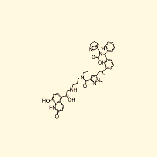 CCN(CCCNC[C@@H](O)c1ccc(O)c2[nH]c(=O)ccc12)C(=O)c1cc(COc2cccc(C(c3ccccc3)N(C(=O)O)[C@H]3CN4CCC3CC4)c2)n(C)n1